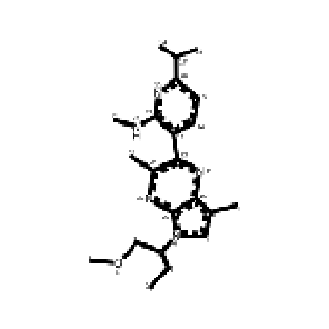 CCC(COC)n1cc(C)c2nc(-c3ccc(C(C)C)nc3NC)c(C)nc21